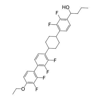 CCCC(O)c1ccc(C2CCC(c3ccc(-c4ccc(OCC)c(F)c4F)c(F)c3F)CC2)c(F)c1F